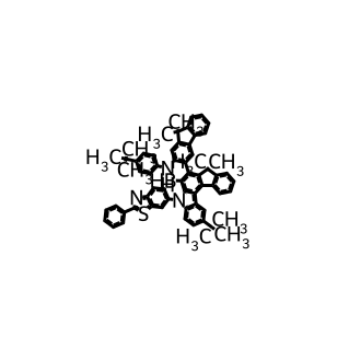 CC(C)(C)c1ccc(Nc2cc3c(cc2-c2c4c(c5c6cc(C(C)(C)C)ccc6n6c5c2Bc2cc5nc(-c7ccccc7)sc5cc2-6)-c2ccccc2C4(C)C)-c2ccccc2C3(C)C)cc1